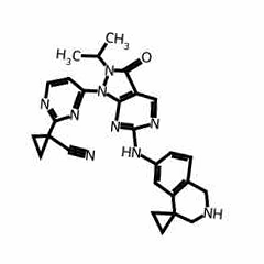 CC(C)n1c(=O)c2cnc(Nc3ccc4c(c3)C3(CC3)CNC4)nc2n1-c1ccnc(C2(C#N)CC2)n1